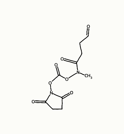 CN(OC(=O)ON1C(=O)CCC1=O)C(=O)CCC=O